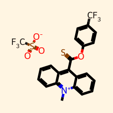 C[n+]1c2ccccc2c(C(=S)Oc2ccc(C(F)(F)F)cc2)c2ccccc21.O=S(=O)([O-])C(F)(F)F